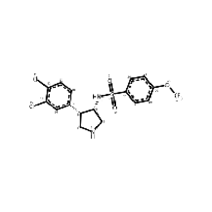 O=S(=O)(N[C@@H]1CNC[C@@H]1c1ccc(Cl)c(Cl)c1)c1ccc(OC(F)(F)F)cc1